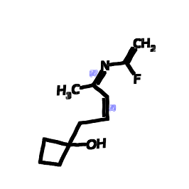 C=C(F)/N=C(C)\C=C/CC1(O)CCC1